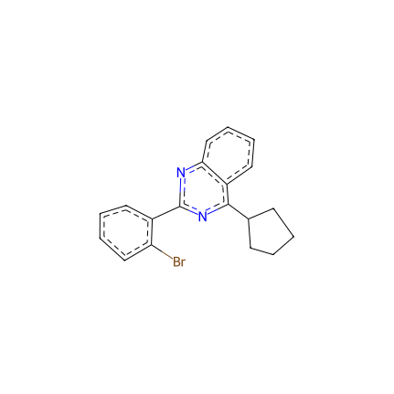 Brc1ccccc1-c1nc(C2CCCC2)c2ccccc2n1